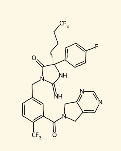 N=C1N[C@](CCCC(F)(F)F)(c2ccc(F)cc2)C(=O)N1Cc1ccc(C(F)(F)F)c(C(=O)N2Cc3cncnc3C2)c1